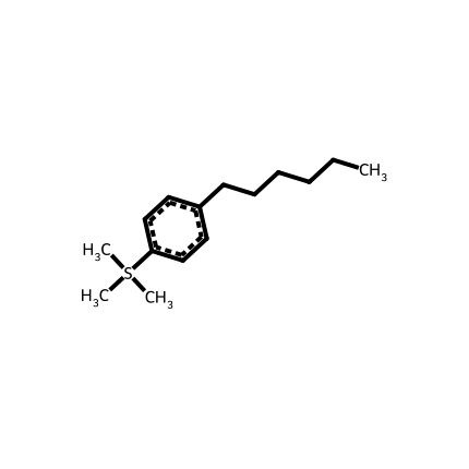 CCCCCCc1ccc(S(C)(C)C)cc1